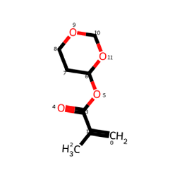 C=C(C)C(=O)OC1CCOCO1